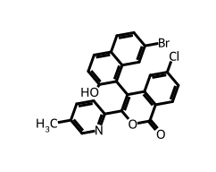 Cc1ccc(-c2oc(=O)c3ccc(Cl)cc3c2-c2c(O)ccc3ccc(Br)cc23)nc1